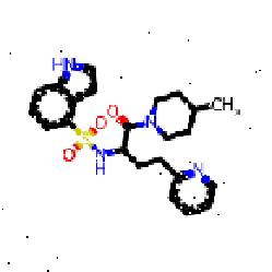 CC1CCN(C(=O)C(CCc2ccccn2)NS(=O)(=O)c2cccc3[nH]ccc23)CC1